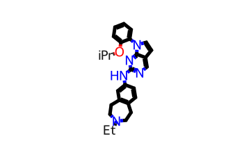 CCN1CCc2ccc(Nc3ncc4ccn(-c5ccccc5OC(C)C)c4n3)cc2CC1